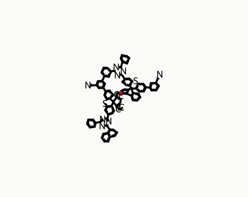 N#Cc1cccc(-c2ccc3c(c2)Sc2cc(-c4nc(-c5ccccc5)nc(-c5cccc(-c6cc(C#N)cc(-c7ccc8c(c7)Sc7cc(-c9nc(-c%10ccccc%10)nc(-c%10cccc%11ccccc%10%11)n9)ccc7C87c8ccccc8-c8ccccc87)c6)c5)n4)ccc2C32c3ccccc3-c3ccccc32)c1